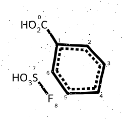 O=C(O)c1ccccc1.O=S(=O)(O)F